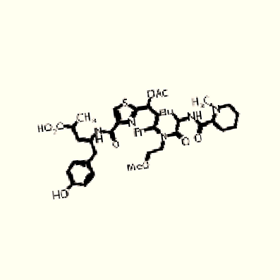 CCC(C)C(NC(=O)C1CCCCN1C)C(=O)N(CCOC)C(CC(OC(C)=O)c1nc(C(=O)NC(Cc2ccc(O)cc2)CC(C)C(=O)O)cs1)C(C)C